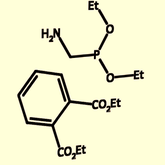 CCOC(=O)c1ccccc1C(=O)OCC.CCOP(CN)OCC